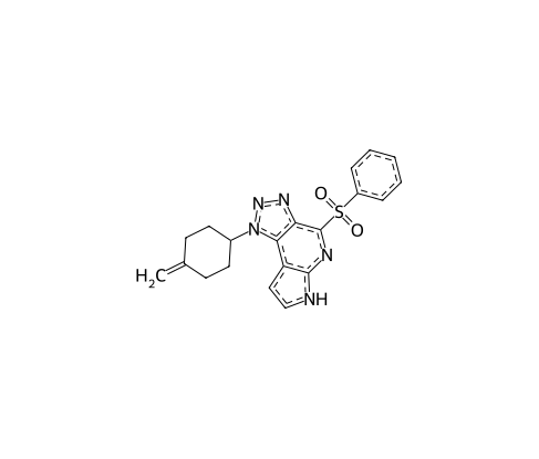 C=C1CCC(n2nnc3c(S(=O)(=O)c4ccccc4)nc4[nH]ccc4c32)CC1